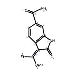 CC/C(OC)=C1/C(=O)Nc2cc(C(N)=O)ccc21